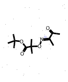 CC(=O)/C(C)=N/OC(C)(C)C(=O)OC(C)(C)C